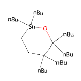 CCCCC1(CCCC)C[CH2][Sn]([CH2]CCC)([CH2]CCC)[O]C1(CCCC)CCCC